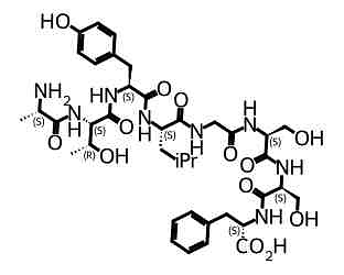 CC(C)C[C@H](NC(=O)[C@H](Cc1ccc(O)cc1)NC(=O)[C@@H](NC(=O)[C@H](C)N)[C@@H](C)O)C(=O)NCC(=O)N[C@@H](CO)C(=O)N[C@@H](CO)C(=O)N[C@@H](Cc1ccccc1)C(=O)O